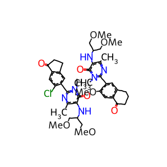 COCC(COC)Nc1c(C)nc(-c2cc3c(cc2Cl)C(=O)CC3)n(C)c1=O.COCC(COC)Nc1c(C)nc(-c2cc3c(cc2OC)C(=O)CCC3)n(C)c1=O